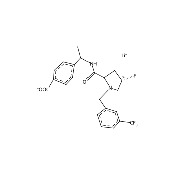 CC(NC(=O)C1C[C@H](F)CN1Cc1cccc(C(F)(F)F)c1)c1ccc(C(=O)[O-])cc1.[Li+]